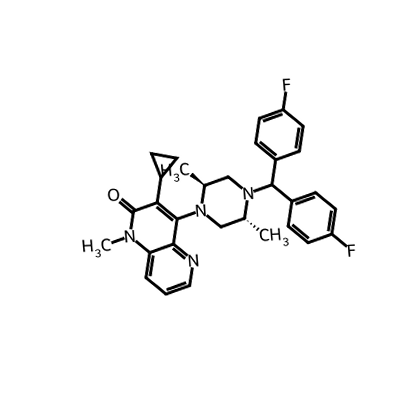 C[C@@H]1CN(c2c(C3CC3)c(=O)n(C)c3cccnc23)[C@@H](C)CN1C(c1ccc(F)cc1)c1ccc(F)cc1